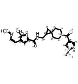 C=N/C=C\c1cc(C(=O)NCC2CC23CCN(C(=O)c2cnn(C)c2)CC3)oc1C